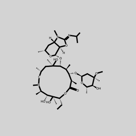 CC[C@H]1OC(=O)[C@H](C)[C@@H](O[C@H]2C[C@@](C)(OC)[C@@H](O)[C@H](C)O2)[C@H](C)[C@@H](O[C@@H]2O[C@H](C)C[C@H]3[C@H]2OC(=NC(C)C)N3C)[C@](C)(O)C[C@@H](C)CN(C)[C@H](C)[C@@H](O)[C@]1(C)O